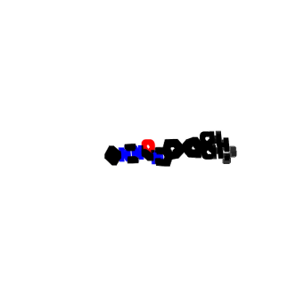 CC(C)(C)c1ccc(-c2ccc3c(c2)CCN(CC(=O)N2CCN(C4CCC4)CC2)C3)cc1